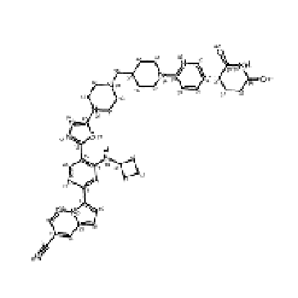 N#Cc1cnn2c(-c3cc(NC4CCC4)c(-c4nnc(N5CCN(CC6CCN(c7ccc([C@H]8CCC(=O)NC8=O)cn7)CC6)CC5)s4)cn3)ccc2c1